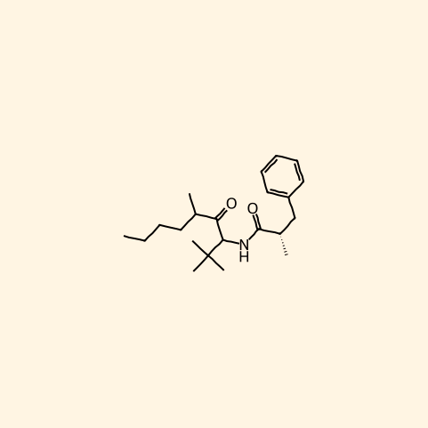 CCCCC(C)C(=O)C(NC(=O)[C@@H](C)Cc1ccccc1)C(C)(C)C